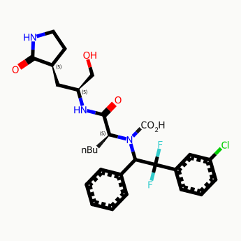 CCCC[C@@H](C(=O)N[C@H](CO)C[C@@H]1CCNC1=O)N(C(=O)O)C(c1ccccc1)C(F)(F)c1cccc(Cl)c1